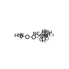 C=C(OC(C)(C)C)N1[C@@H]2CC[C@@H](C2)[C@H]1C(=O)N[C@H](C#N)Cc1ccc(-c2ccc(-c3cc[nH]n3)cc2)cc1